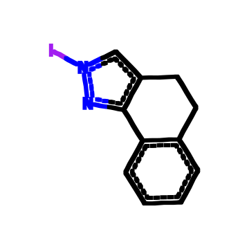 In1cc2c(n1)-c1ccccc1CC2